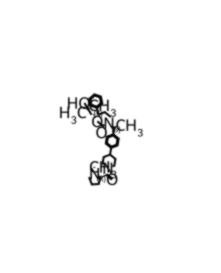 C[C@@H](c1ccc(C2CCN(C(=O)[C@H]3CCCN3C)CC2)cc1)N1CC[C@](CC(C)(C)O)(c2ccccc2)OC1=O